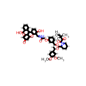 CCC(C)(C)C(=O)C(=O)N1CCCCC1C(=O)O[C@H](CCc1ccc(OC)c(OC)c1)c1cccc(OCC(=O)NCc2c(O)ccc3c(-c4ccccc4C(=O)O)c4ccc(=O)cc-4oc23)c1